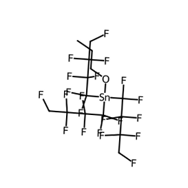 CCC[O][Sn]([C](F)(F)C(F)(F)C(F)(F)CF)([C](F)(F)C(F)(F)C(F)(F)CF)[C](F)(F)C(F)(F)C(F)(F)CF